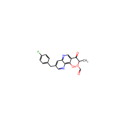 CC(OC=O)C(=O)c1cnc2cc(Cc3ccc(F)cc3)cnc2c1O